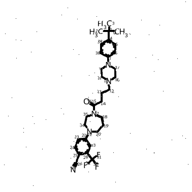 CC(C)(C)c1ccc(N2CCN(CCCC(=O)N3CCCN(c4ccc(C#N)c(C(F)(F)F)c4)CC3)CC2)cc1